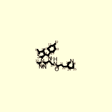 Cc1sc2c(c1C)C(c1ccc(I)cc1)=NC(CNC(=O)CCc1cccnc1)c1nnc(C)n1-2